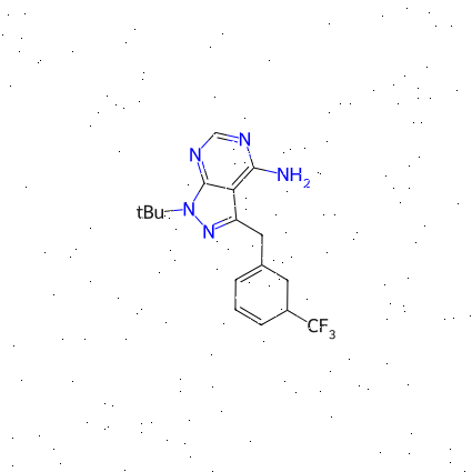 CC(C)(C)n1nc(CC2=CC=CC(C(F)(F)F)C2)c2c(N)ncnc21